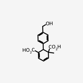 CC1(C(=O)O)C=CC=C(C(=O)O)C1c1ccc(CO)cc1